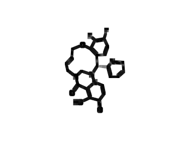 O=C1c2c(O)c(=O)ccn2N2CN1C/C=C/COc1c(ccc(F)c1F)[C@@H]2c1ccccn1